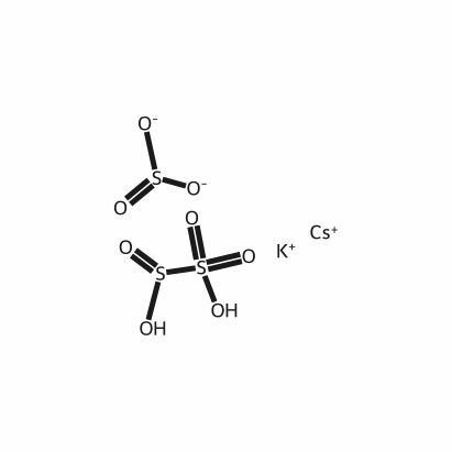 O=S(O)S(=O)(=O)O.O=S([O-])[O-].[Cs+].[K+]